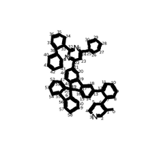 Cc1cnccc1-c1ccccc1-c1ccc2c(c1)-c1cc(-c3cc(-c4ccccc4)nc(-c4ccccc4-c4ccccc4)n3)ccc1C21c2ccccc2-c2ccccc21